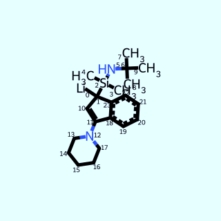 [Li][C]1([Si](C)(C)NC(C)(C)C)C=C(N2CCCCC2)c2ccccc21